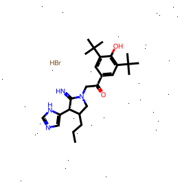 Br.CCCC1CN(CC(=O)c2cc(C(C)(C)C)c(O)c(C(C)(C)C)c2)C(=N)C1c1cnc[nH]1